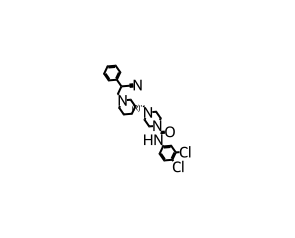 N#CC(CN1CCC[C@@H](CN2CCN(C(=O)Nc3ccc(Cl)c(Cl)c3)CC2)C1)c1ccccc1